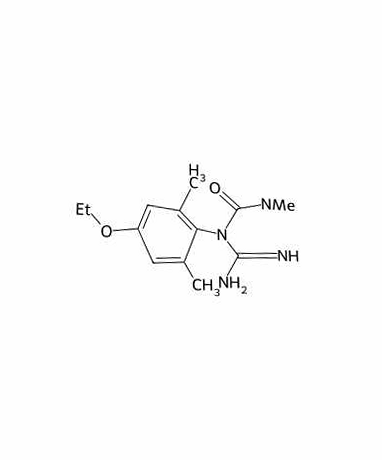 CCOc1cc(C)c(N(C(=N)N)C(=O)NC)c(C)c1